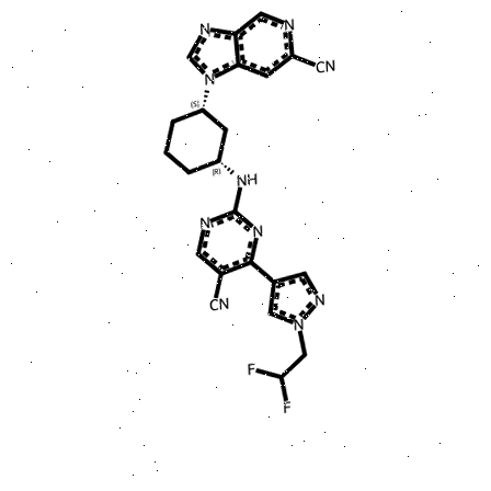 N#Cc1cc2c(cn1)ncn2[C@H]1CCC[C@@H](Nc2ncc(C#N)c(-c3cnn(CC(F)F)c3)n2)C1